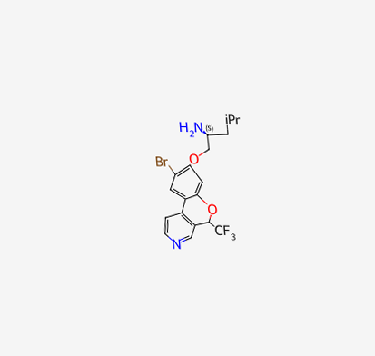 CC(C)C[C@H](N)COc1cc2c(cc1Br)-c1ccncc1C(C(F)(F)F)O2